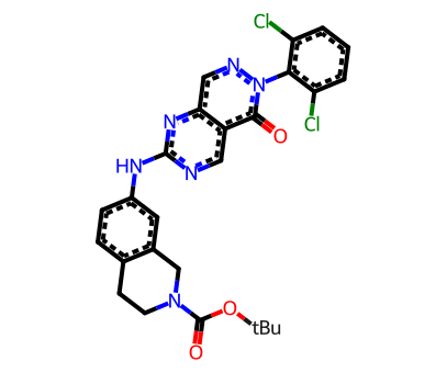 CC(C)(C)OC(=O)N1CCc2ccc(Nc3ncc4c(=O)n(-c5c(Cl)cccc5Cl)ncc4n3)cc2C1